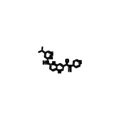 CC(C)c1cnnc(Nc2ccc3ncc(C(=O)Nc4ccncc4)cc3n2)c1